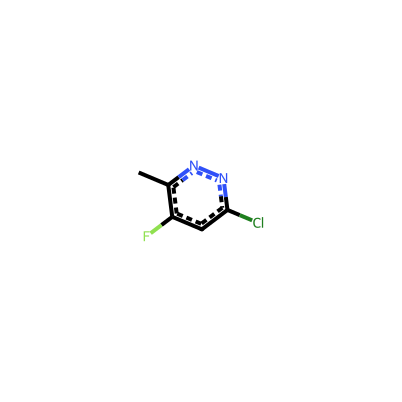 Cc1nnc(Cl)cc1F